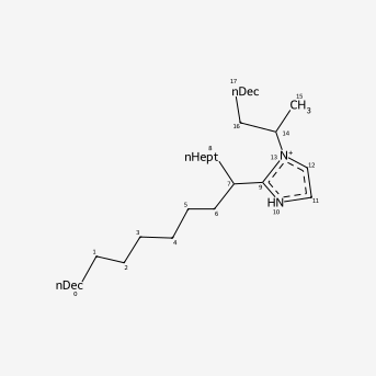 CCCCCCCCCCCCCCCCC(CCCCCCC)c1[nH]cc[n+]1C(C)CCCCCCCCCCC